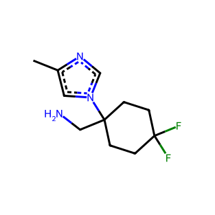 Cc1cn(C2(CN)CCC(F)(F)CC2)cn1